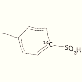 Cc1cc[14c](S(=O)(=O)O)cc1